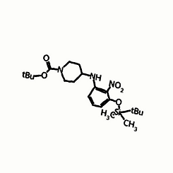 CC(C)(C)OC(=O)N1CCC(Nc2cccc(O[Si](C)(C)C(C)(C)C)c2[N+](=O)[O-])CC1